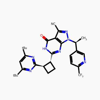 C[C@@H](c1ccc(C(F)(F)F)nc1)n1nc(C#N)c2c(=O)[nH]c([C@@H]3CC[C@H]3c3nc(C(C)(C)C)cc(C(C)(C)C)n3)nc21